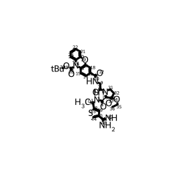 C[C@@H](NC(=O)[C@H]1N(C(=O)CNC(=O)c2ccc3c(c2)Oc2ccccc2N3C(=O)OC(C)(C)C)CCC12OCCO2)c1cc(C(=N)N)cs1